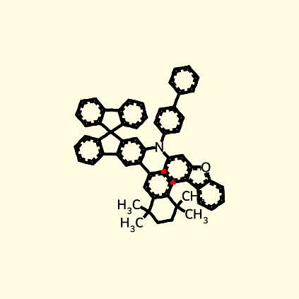 CC1(C)CCC(C)(C)c2cc(-c3cc4c(cc3N(c3ccc(-c5ccccc5)cc3)c3ccc5c(c3)oc3ccccc35)C3(c5ccccc5-c5ccccc53)c3ccccc3-4)ccc21